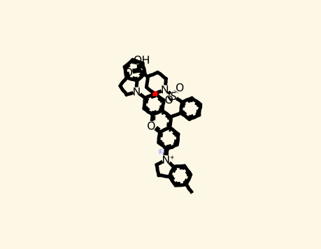 Cc1ccc2c(c1)CC/[N+]2=c1/ccc2c(-c3ccccc3S(=O)(=O)N3CCC(C(=O)O)CC3)c3ccc(N4CCc5ccccc54)cc3oc-2c1